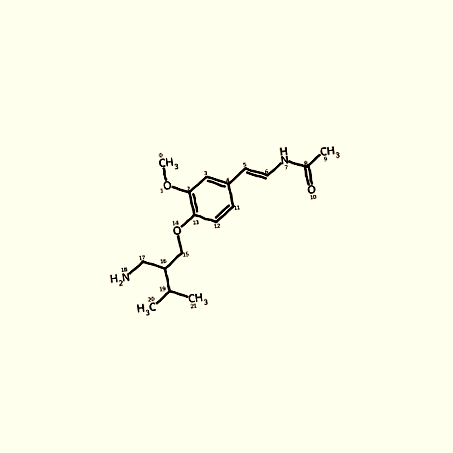 COc1cc(C=CNC(C)=O)ccc1OCC(CN)C(C)C